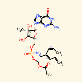 C=C/C=C(\C=C/C)CNP(=O)(OCOC(=O)C(C)(C)C)OC[C@H]1O[C@@H](n2cnc3c(=O)[nH]c(N)nc32)[C@](C)(O)[C@@H]1O